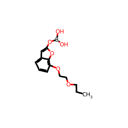 CCCOCCOc1cccc2cc(OB(O)O)oc12